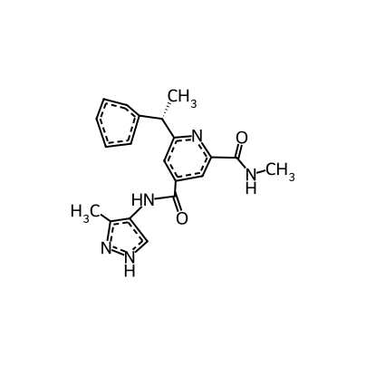 CNC(=O)c1cc(C(=O)Nc2c[nH]nc2C)cc([C@@H](C)c2ccccc2)n1